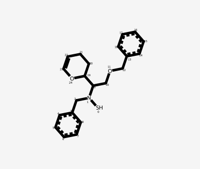 SN(Cc1ccccc1)C(COCc1ccccc1)C1CCC=CO1